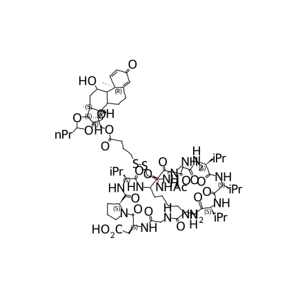 CCCC1O[C@@H]2C[C@H]3C4CCC5=CC(=O)C=C[C@]5(C)C4C(O)C[C@]3(C)[C@]2(C(=O)COC(=O)CCCSSCC(NC(C)=O)C(=O)NCC(=O)N[C@H](C(=O)N[C@H](C(=O)N[C@H](C(=O)NCC(=O)NCC(=O)N[C@@H](CC(=O)O)C(=O)N2CCC[C@H]2C(=O)N[C@H](C(=O)NC(CCCCN)C(=O)NCC(N)=O)C(C)C)C(C)C)C(C)C)C(C)C)O1